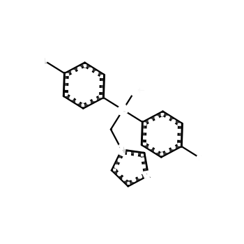 O[Si](Cn1ccnc1)(c1ccc(Cl)cc1)c1ccc(Cl)cc1